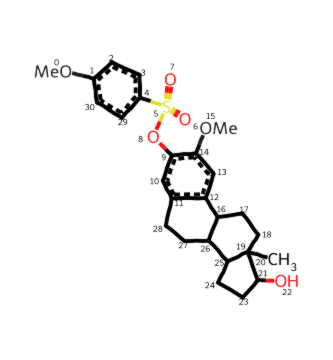 COc1ccc(S(=O)(=O)Oc2cc3c(cc2OC)C2CCC4(C)C(O)CCC4C2CC3)cc1